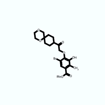 COC(=O)c1cc(Br)c(OCC(=O)C2CCC3(CC2)COCCO3)c(O)c1C